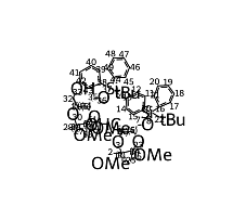 CO[C@]1(C)O[C@@H](C=O)[C@H](CO[Si](c2ccccc2)(c2ccccc2)C(C)(C)C)O[C@@]1(C)OC.CO[C@]1(C)O[C@@H](CO)[C@H](CO[Si](c2ccccc2)(c2ccccc2)C(C)(C)C)O[C@@]1(C)OC